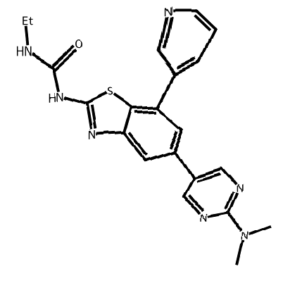 CCNC(=O)Nc1nc2cc(-c3cnc(N(C)C)nc3)cc(-c3cccnc3)c2s1